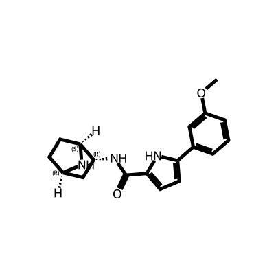 COc1cccc(-c2ccc(C(=O)N[C@@H]3C[C@H]4CC[C@@H]3N4)[nH]2)c1